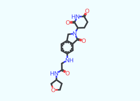 O=C1CCC(N2Cc3ccc(NCC(=O)NC4CCOC4)cc3C2=O)C(=O)N1